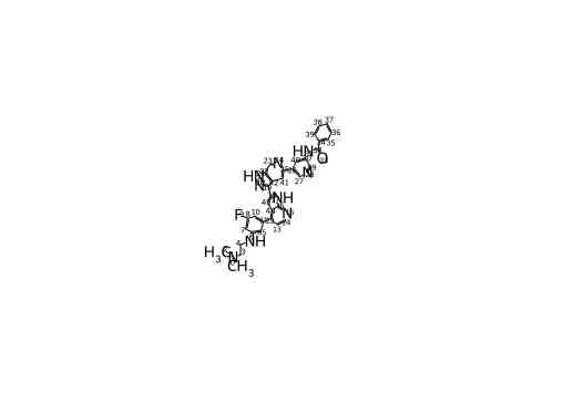 CN(C)CCNc1cc(F)cc(-c2ccnc3[nH]c(-c4n[nH]c5cnc(-c6cncc(NC(=O)c7ccccc7)c6)cc45)cc23)c1